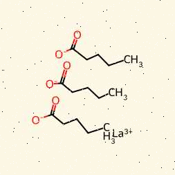 CCCCC(=O)[O-].CCCCC(=O)[O-].CCCCC(=O)[O-].[La+3]